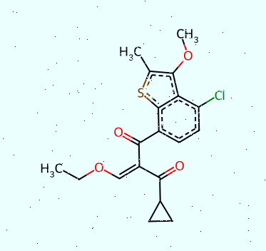 CCO/C=C(\C(=O)c1ccc(Cl)c2c(OC)c(C)sc12)C(=O)C1CC1